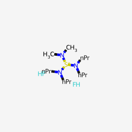 CCCN(CCC)[S+](N(C)C)N(CCC)CCC.F.F